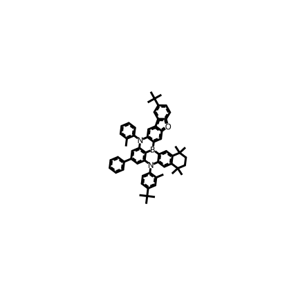 Cc1cc(C(C)(C)C)ccc1N1c2cc3c(cc2B2c4cc5oc6ccc(C(C)(C)C)cc6c5cc4N(c4ccccc4C)c4cc(-c5ccccc5)cc1c42)C(C)(C)CCC3(C)C